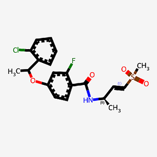 CC(Oc1ccc(C(=O)N[C@H](C)/C=C/S(C)(=O)=O)c(F)c1)c1ccccc1Cl